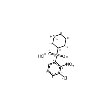 Cl.O=[N+]([O-])c1c(Cl)cccc1S(=O)(=O)C1CCCNC1